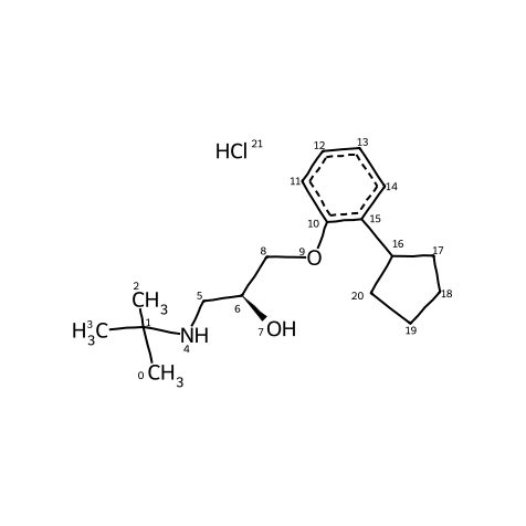 CC(C)(C)NC[C@H](O)COc1ccccc1C1CCCC1.Cl